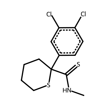 CNC(=S)C1(c2ccc(Cl)c(Cl)c2)CCCCS1